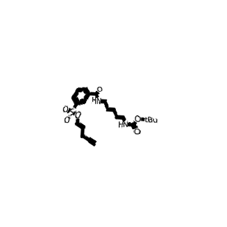 C#CCCCOS(=O)(=O)c1cccc(C(=O)NCCCCCNC(=O)OC(C)(C)C)c1